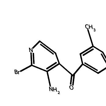 Cc1cccc(C(=O)c2ccnc(Br)c2N)c1